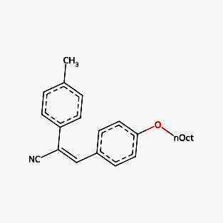 CCCCCCCCOc1ccc(C=C(C#N)c2ccc(C)cc2)cc1